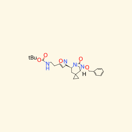 CC(C)(C)OC(=O)NCCc1cc([C@@H]2CC3(CC3)[C@H]3CN2C(=O)N3OCc2ccccc2)no1